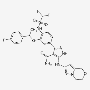 CC(Oc1cc(-c2n[nH]c(Nc3cc4n(n3)CCOC4)c2C(N)=O)ccc1NS(=O)(=O)C(F)F)c1ccc(F)cc1